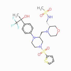 C[C@@](O)(c1ccc(N2CCN(S(=O)(=O)c3cccs3)C[C@@H]2CN2CCOC[C@H]2CNS(C)(=O)=O)cc1)C(F)(F)F